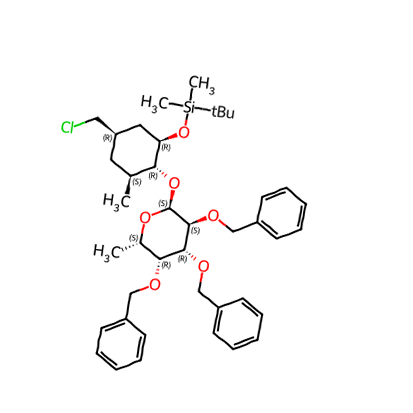 C[C@@H]1O[C@@H](O[C@@H]2[C@@H](C)C[C@@H](CCl)C[C@H]2O[Si](C)(C)C(C)(C)C)[C@@H](OCc2ccccc2)[C@H](OCc2ccccc2)[C@@H]1OCc1ccccc1